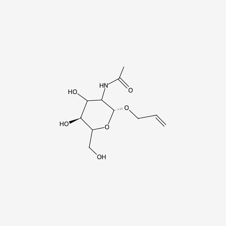 C=CCO[C@@H]1OC(CO)[C@@H](O)C(O)C1NC(C)=O